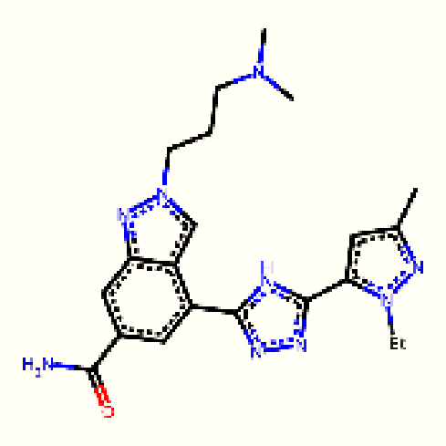 CCn1nc(C)cc1-c1nnc(-c2cc(C(N)=O)cc3nn(CCCN(C)C)cc23)[nH]1